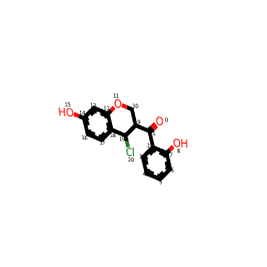 O=C(c1ccccc1O)C1COc2cc(O)ccc2C1Cl